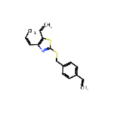 C=Cc1ccc(CSc2nc(/C=C\C)c(C=C)s2)cc1